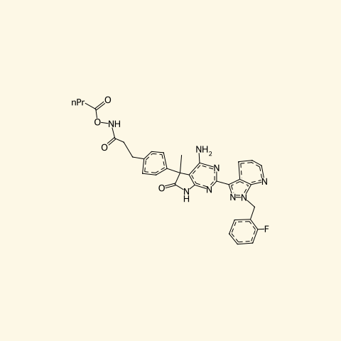 CCCC(=O)ONC(=O)CCc1ccc(C2(C)C(=O)Nc3nc(-c4nn(Cc5ccccc5F)c5ncccc45)nc(N)c32)cc1